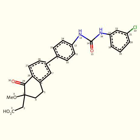 COC1(CC(=O)O)CCc2cc(-c3ccc(NC(=O)Nc4cccc(Cl)c4)cc3)ccc2C1=O